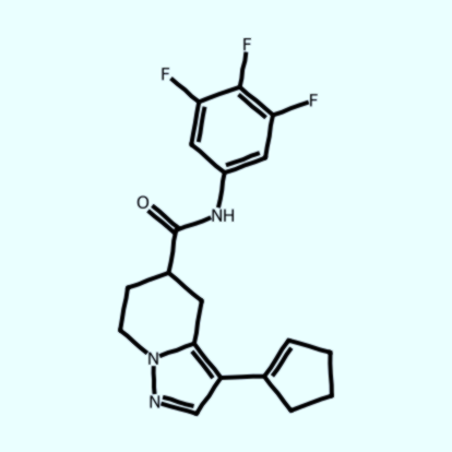 O=C(Nc1cc(F)c(F)c(F)c1)C1CCn2ncc(C3=CCCC3)c2C1